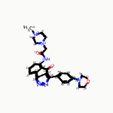 CN1CCN(CC(=O)Nc2cccc3c2C(=O)C2=C(c4ccc(N5CCOCC5)cc4)N=NC23)CC1